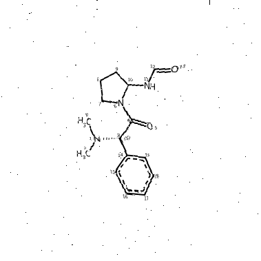 CN(C)[C@H](C(=O)N1CCCC1NC=O)c1ccccc1